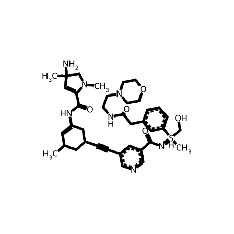 CC1C=C(NC(=O)C2=CC(C)(N)CN2C)CC(C#Cc2cncc(C(=O)N=[SH](C)(CO)c3cccc(CC(=O)NCCN4CCOCC4)c3)c2)C1